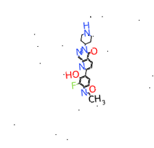 Cc1nc2c(F)c(O)c(-c3ccc4c(=O)n(C5CCNCC5)ncc4n3)cc2o1